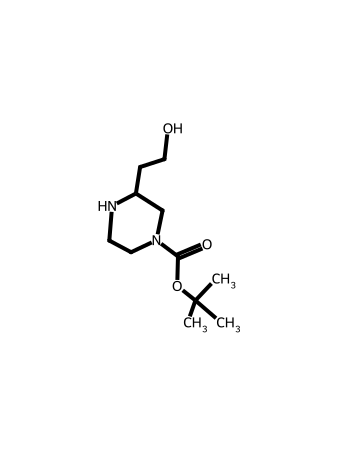 CC(C)(C)OC(=O)N1CCNC(CCO)C1